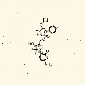 CC(NP(=O)(OC[C@H]1O[C@@H](n2ccc(N)nc2=O)C(F)(F)[C@@H]1O)Oc1ccccc1)C(=O)OC1CCC1